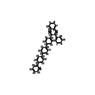 c1ccc(-c2nc3ccccc3nc2-c2ccc(-c3ccc(-c4ccc(-c5ccccn5)cc4)cc3)cc2)cc1